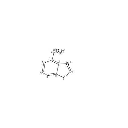 O=S(=O)(O)c1cccc2c1N=CC2